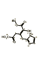 CCC(C)OC(=O)C(O)=C(CC(=O)C(=O)O)Sc1ncc[nH]1